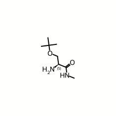 CNC(=O)[C@@H](N)COC(C)(C)C